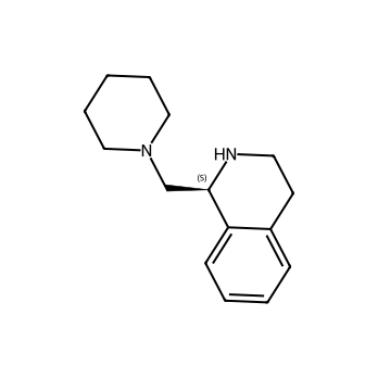 c1ccc2c(c1)CCN[C@@H]2CN1CCCCC1